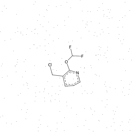 FC(F)Oc1ncccc1CCl